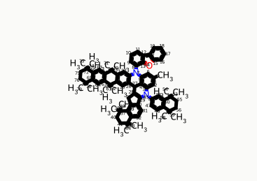 Cc1cc2c3c(c1)N(c1cccc4c1oc1ccccc14)c1cc4c(cc1C3C1=C(c3ccc5c(c3C1)C(C)(C)CCC5(C)C)N2c1ccc2c(c1)C(C)(C)CCC2(C)C)C(C)(C)c1cc2c(cc1C4(C)C)C(C)(C)CCC2(C)C